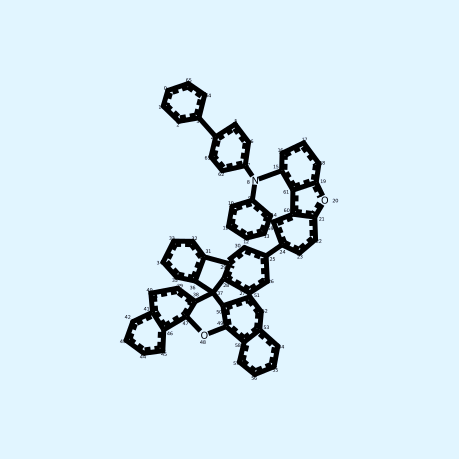 c1ccc(-c2ccc(N(c3ccccc3)c3cccc4oc5ccc(-c6ccc7c(c6)-c6ccccc6C76c7ccc8ccccc8c7Oc7c6ccc6ccccc76)cc5c34)cc2)cc1